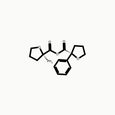 O=C(OC(=O)[C@]1(c2ccccc2)CCCO1)[C@@]1(P)CCCO1